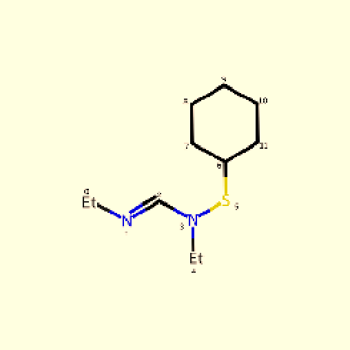 CCN=CN(CC)SC1CCCCC1